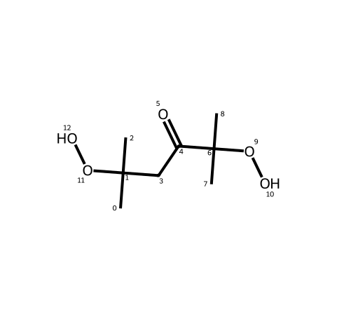 CC(C)(CC(=O)C(C)(C)OO)OO